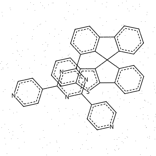 c1ccc2c(c1)-c1cccc(-c3nc(-c4ccncc4)nc(-c4ccncc4)n3)c1C21c2ccccc2-c2sc3ccccc3c21